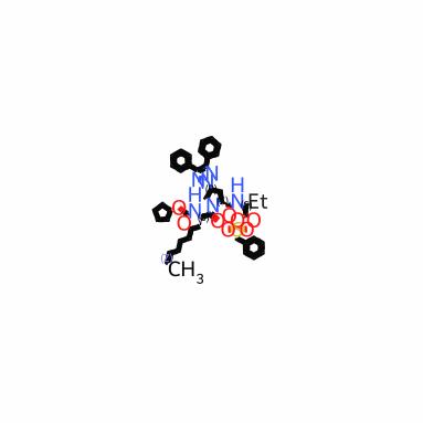 C/C=C\CCCCC[C@H](NC(=O)OC1CCCC1)C(=O)N1C[C@H](n2nc(-c3ccccc3)c(-c3ccccc3)n2)C[C@H]1C(=O)N[C@@H](CC)C(=O)OS(=O)(=O)Cc1ccccc1